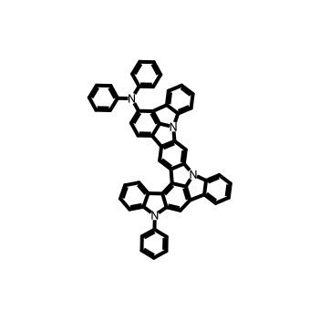 c1ccc(N(c2ccccc2)c2ccc3c4cc5c6c7c8ccccc8n(-c8ccccc8)c7cc7c8ccccc8n(c5cc4n4c5ccccc5c2c34)c76)cc1